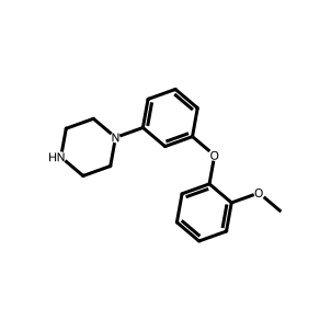 COc1ccccc1Oc1cccc(N2CCNCC2)c1